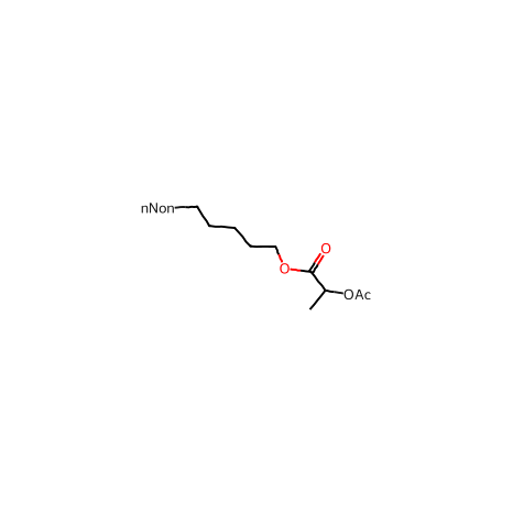 CCCCCCCCCCCCCCOC(=O)C(C)OC(C)=O